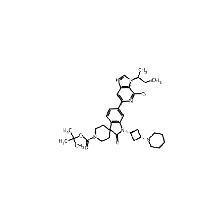 CC[C@H](C)n1cnc2cc(-c3ccc4c(c3)N([C@H]3C[C@@H](N5CCCCC5)C3)C(=O)C43CCN(C(=O)OC(C)(C)C)CC3)nc(Cl)c21